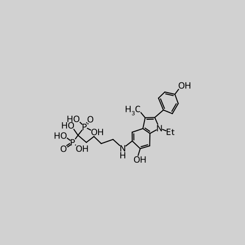 CCn1c(-c2ccc(O)cc2)c(C)c2cc(NCCCCC(O)(P(=O)(O)O)P(=O)(O)O)c(O)cc21